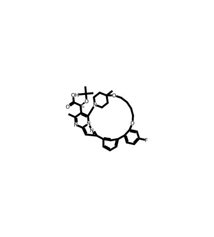 Cc1nc2cc3nn2c(c1[C@H](OC(C)(C)C)C(=O)O)N1CCC(C)(CC1)OCCCCOc1cc(F)ccc1-c1cccc-3c1